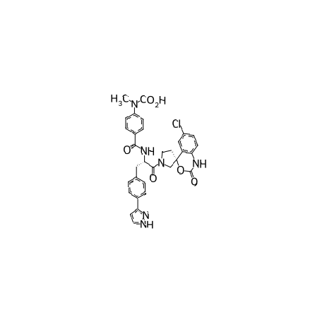 CN(C(=O)O)c1ccc(C(=O)N[C@@H](Cc2ccc(-c3cc[nH]n3)cc2)C(=O)N2CC[C@@]3(C2)OC(=O)Nc2ccc(Cl)cc23)cc1